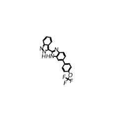 FC(F)(F)Oc1ccc(-c2ccc3nc(-c4[nH]nc5ccccc45)[nH]c3c2)cc1